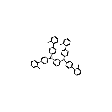 Cc1ccccc1-c1ccc(N(c2ccc(-c3ccccc3C)cc2)c2cccc(N(c3ccc(-c4ccccc4C)cc3)c3ccc(-c4ccccc4C)cc3)c2)cc1